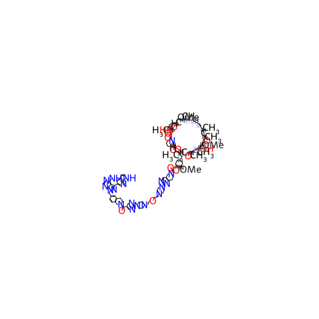 CO[C@H]1C[C@@H]2CC[C@@H](C)[C@@](O)(O2)C(=O)C(=O)N2CCCC[C@H]2C(=O)O[C@H]([C@H](C)C[C@@H]2CC[C@@H](OC(=O)N3CCc4nc(N5CCN(CCOCCN6CCN(c7ncc(C(=O)N8CCc9cc(Cn%10nc(-c%11cnc%12[nH]ccc%12c%11)c%11c(N)ncnc%11%10)ccc9C8)cn7)CC6)CC5)ncc4C3)[C@H](OC)C2)CC(=O)[C@H](C)/C=C(\C)[C@@H](O)[C@@H](OC)C(=O)[C@H](C)C[C@H](C)/C=C/C=C/C=C/1C